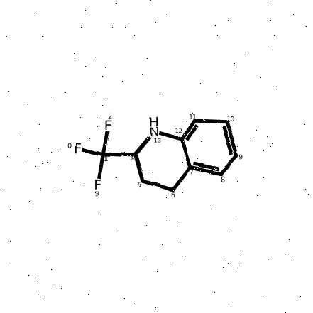 FC(F)(F)C1CCc2ccccc2N1